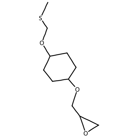 CSCOC1CCC(OCC2CO2)CC1